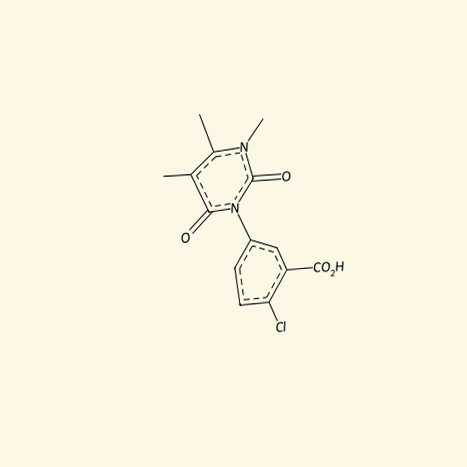 Cc1c(C)n(C)c(=O)n(-c2ccc(Cl)c(C(=O)O)c2)c1=O